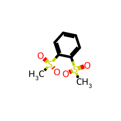 CS(=O)(=O)c1ccccc1S(C)(=O)=O